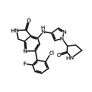 O=C1NCc2nc(-c3c(F)cccc3Cl)cc(Nc3cnn(C4CCNC4=O)c3)c21